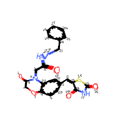 O=C(CN1C(=O)COc2ccc(C=C3SC(=O)NC3=O)cc21)NCc1ccccc1